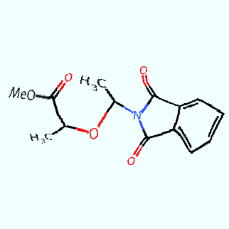 COC(=O)C(C)OC(C)N1C(=O)c2ccccc2C1=O